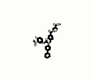 O=C(NCC(F)C(=O)O)c1ccc(CN(C(=O)Nc2ccc(F)c([N+](=O)[O-])c2)c2ccc(C3=CCCCC3)cc2)cc1